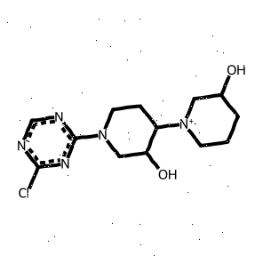 OC1CCC[N+](C2CCN(c3ncnc(Cl)n3)CC2O)C1